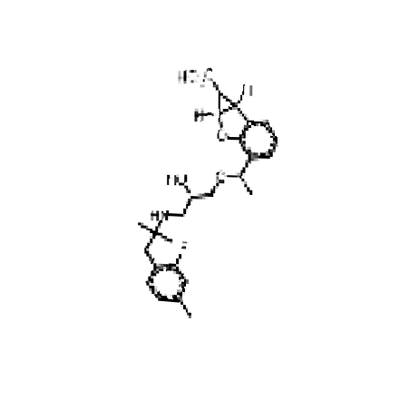 Cc1ccc(CC(C)(C)NC[C@@H](O)CO[C@H](C)c2cccc3c2O[C@@H]2[C@@H](C(=O)O)[C@H]32)c(F)c1